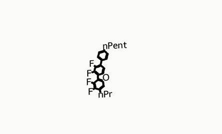 CCCCCc1ccc(-c2cc3oc4cc(CCC)c(F)c(F)c4c3c(F)c2F)cc1